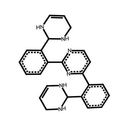 C1=CNC(c2ccccc2-c2ccnc(-c3ccccc3C3NC=CCN3)n2)NC1